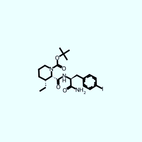 CC[C@@H]1CCCN(C(=O)OC(C)(C)C)[C@@H]1C(=O)N[C@@H](Cc1ccc(I)cc1)C(N)=O